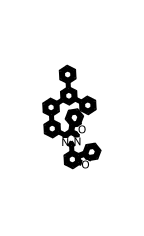 c1ccc(-c2cc(-c3ccccc3)cc(-c3cccc(-c4cccc(-c5nc(-c6cccc7oc8ccccc8c67)nc6oc7ccccc7c56)c4)c3)c2)cc1